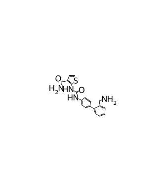 NCc1ccccc1-c1ccc(NC(=O)Nc2sccc2C(N)=O)cc1